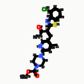 CCCC(=O)/C(=C\c1cnc(N2CCN(C(=O)OC(C)(C)C)CC2)cc1C)c1nc2c(Cl)cccc2s1